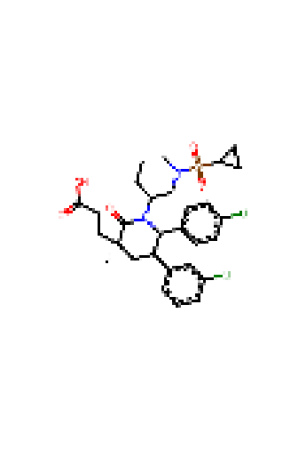 CC[C@@H](CN(C)S(=O)(=O)C1CC1)N1C(=O)[C@](C)(CCC(=O)O)CC(c2cccc(Cl)c2)C1c1ccc(Cl)cc1